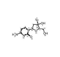 [2H][C@]1(O)C[C@H](n2ccc(N)nc2=O)O[C@@H]1CO